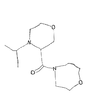 CC(C)N1CCOCC1C(=O)N1CCOCC1